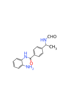 CC(NC=O)c1ccc(C(=O)Nc2ccccc2N)cc1